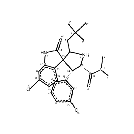 CN(C)C(=O)[C@H]1NC(CC(C)(C)C)C2(C(=O)Nc3cc(Cl)ccc32)[C@H]1c1cccc(Cl)c1